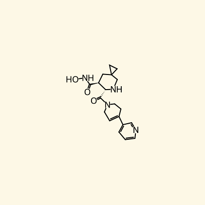 O=C(NO)[C@H]1CC2(CC2)CN[C@@H]1C(=O)N1CC=C(c2cccnc2)CC1